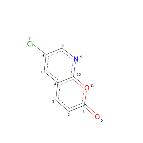 O=c1ccc2cc(Cl)cnc2o1